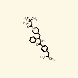 CC(C)Cc1ccc(C(=O)NC(CC2CCN(C(=O)OC(C)(C)C)CC2)c2ccccc2)cc1